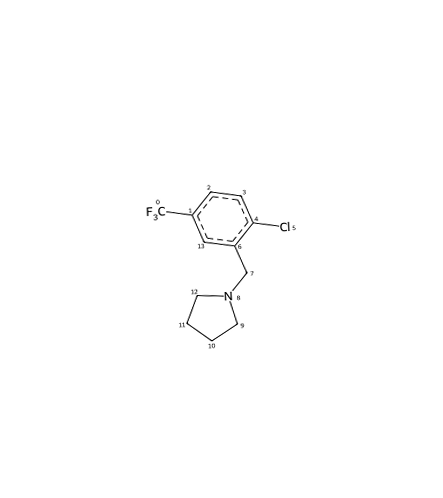 FC(F)(F)c1ccc(Cl)c(CN2CCCC2)c1